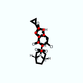 O=C(N[C@H]1C[C@H]2CC[C@@H](C1)N2S(=O)(=O)c1cc2oc(=O)[nH]c2cc1Cl)c1cc(C2CC2)on1